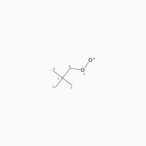 [CH2]C(C)(C)CO[O]